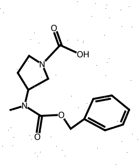 CN(C(=O)OCc1ccccc1)C1CCN(C(=O)O)C1